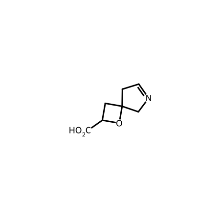 O=C(O)C1CC2(CC=NC2)O1